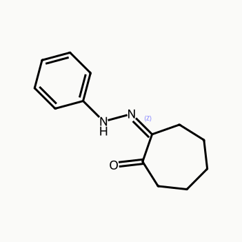 O=C1CCCCC/C1=N/Nc1ccccc1